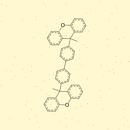 CC1(c2ccc(-c3ccc(C4(C)c5ccccc5Oc5ccccc54)cc3)cc2)c2ccccc2Oc2ccccc21